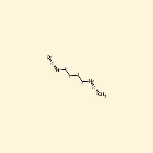 C=C=NCCCCN=C=O